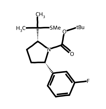 CSC(C)(C)[C@H]1CC[C@@H](c2cccc(F)c2)N1C(=O)OC(C)(C)C